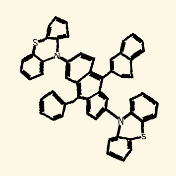 c1ccc(-c2c3ccc(N4c5ccccc5Sc5ccccc54)cc3c(-c3ccc4ccccc4c3)c3ccc(N4c5ccccc5Sc5ccccc54)cc23)cc1